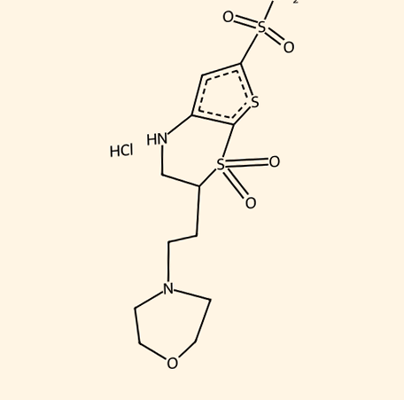 Cl.NS(=O)(=O)c1cc2c(s1)S(=O)(=O)C(CCN1CCOCC1)CN2